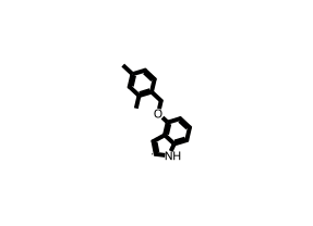 Cc1ccc(COc2cccc3[nH][c]cc23)c(C)c1